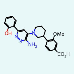 COc1cc(C(=O)O)ccc1C1CCCN(c2cc(-c3ccccc3O)nnc2N)C1